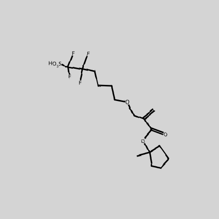 C=C(COCCCCC(F)(F)C(F)(F)S(=O)(=O)O)C(=O)OC1(C)CCCC1